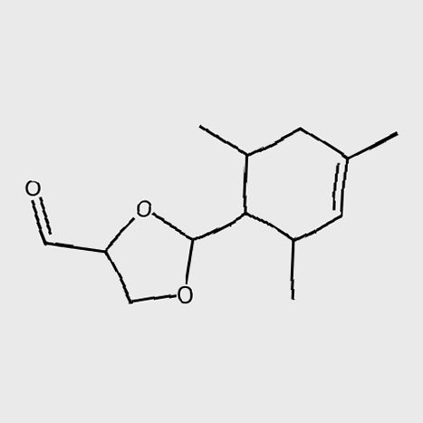 CC1=CC(C)C(C2OCC(C=O)O2)C(C)C1